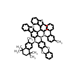 Cc1ccc(N2B3c4cc5c(cc4N(c4cc6c(cc4C)C(C)(C)CCC6(C)C)c4cc6c(oc7ccccc76)c(c43)-c3c2ccc2sc4ccccc4c32)Oc2ccccc2O5)c(-c2ccccc2)c1